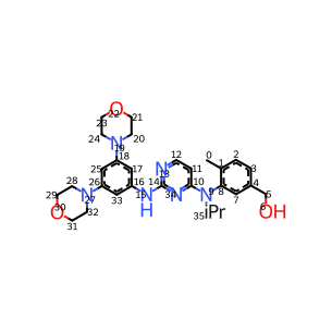 Cc1ccc(CO)cc1N(c1ccnc(Nc2cc(N3CCOCC3)cc(N3CCOCC3)c2)n1)C(C)C